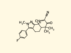 Cn1nc2c(c1-c1ccc(F)cc1)CCC1C(C)(C)C(=O)C(C#N)=CC21C